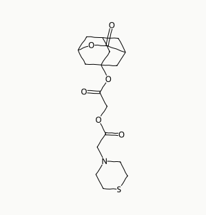 O=C(CN1CCSCC1)OCC(=O)OC12CC3CC(C1)OC(=O)C(C3)C2